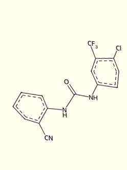 N#Cc1ccccc1NC(=O)Nc1ccc(Cl)c(C(F)(F)F)c1